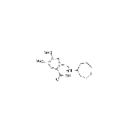 COc1cc(CNC2CCCCCC2)c([N+](=O)O)cc1OC